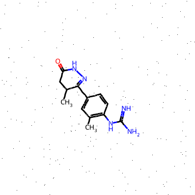 Cc1cc(C2=NNC(=O)CC2C)ccc1NC(=N)N